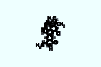 C=CC(C)(C)c1cc(Cl)c(F)c(-c2c(-c3ccc4c(=O)[nH]nc(CN)c4c3)cnn2C)c1C#N